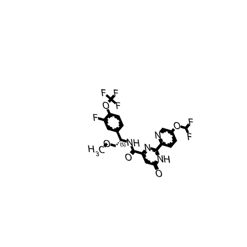 COC[C@@H](NC(=O)c1cc(=O)[nH]c(-c2ccc(OC(F)F)cn2)n1)c1ccc(OC(F)(F)F)c(F)c1